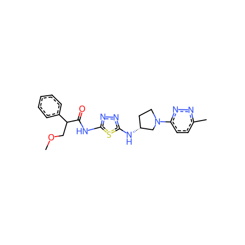 COCC(C(=O)Nc1nnc(N[C@@H]2CCN(c3ccc(C)nn3)C2)s1)c1ccccc1